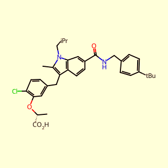 Cc1c(Cc2ccc(Cl)c(O[C@H](C)C(=O)O)c2)c2ccc(C(=O)NCc3ccc(C(C)(C)C)cc3)cc2n1CC(C)C